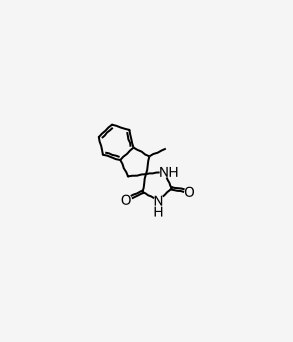 CC1c2ccccc2CC12NC(=O)NC2=O